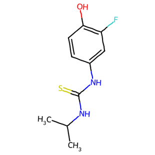 CC(C)NC(=S)Nc1ccc(O)c(F)c1